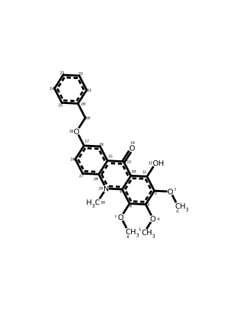 COc1c(OC)c(OC)c2c(c1O)c(=O)c1cc(OCc3ccccc3)ccc1n2C